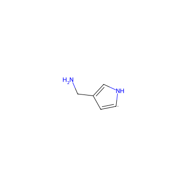 NCc1c[c][nH]c1